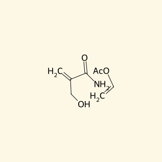 C=C(CO)C(N)=O.C=COC(C)=O